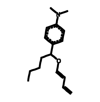 C=CC=COC(CCCC)c1ccc(N(C)C)cc1